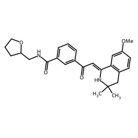 COc1ccc2c(c1)C(=CC(=O)c1cccc(C(=O)NCC3CCCO3)c1)NC(C)(C)C2